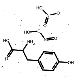 NC(Cc1ccc(O)cc1)C(=O)O.O=NOO.O=[N+]([O-])O